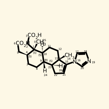 C[C@]1(CC(=O)O)[C@H](CC(=O)O)CC[C@@H]2[C@@H]1CC[C@]1(C)C(n3ccnc3)=CC[C@@H]21